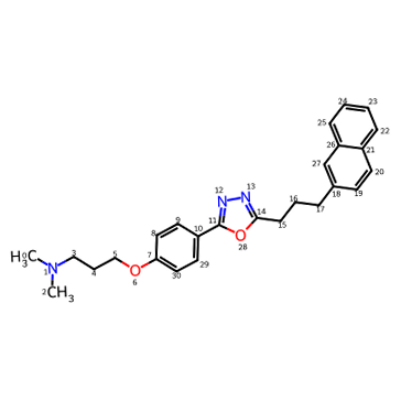 CN(C)CCCOc1ccc(-c2nnc(CCCc3ccc4ccccc4c3)o2)cc1